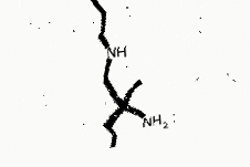 CCCNCC(C)(N)CC